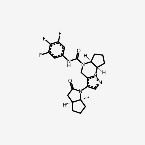 C[C@]12CCC[C@H]1CC(=O)N2c1cnn2c1CN(C(=O)Nc1cc(F)c(F)c(F)c1)[C@H]1CCC[C@H]12